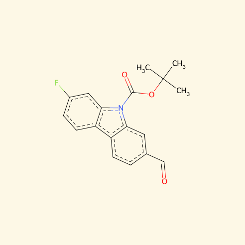 CC(C)(C)OC(=O)n1c2cc(F)ccc2c2ccc(C=O)cc21